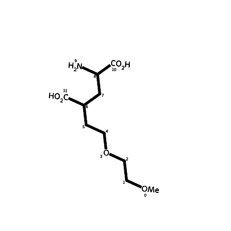 COCCOCCC(CC(N)C(=O)O)C(=O)O